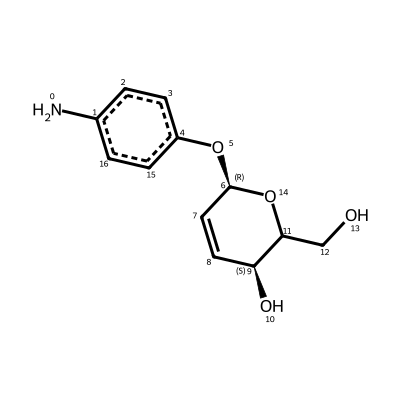 Nc1ccc(O[C@@H]2C=C[C@H](O)C(CO)O2)cc1